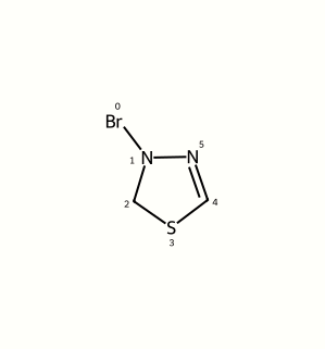 BrN1CSC=N1